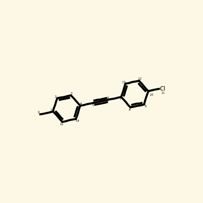 Cc1ccc(C#Cc2ccc(Cl)cc2)cc1